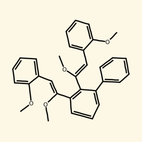 COC(=Cc1ccccc1OC)c1cccc(-c2ccccc2)c1C(=Cc1ccccc1OC)OC